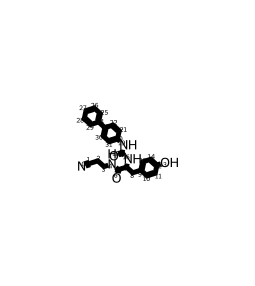 N#CCCNC(=O)C(Cc1ccc(O)cc1)NC(=O)Nc1ccc(-c2ccccc2)cc1